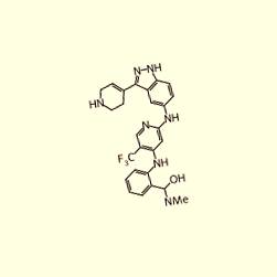 CNC(O)c1ccccc1Nc1cc(Nc2ccc3[nH]nc(C4=CCNCC4)c3c2)ncc1C(F)(F)F